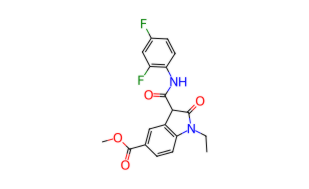 CCN1C(=O)C(C(=O)Nc2ccc(F)cc2F)c2cc(C(=O)OC)ccc21